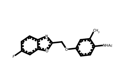 CC(=O)Nc1ccc(OCc2nc3ccc(F)cc3o2)cc1C